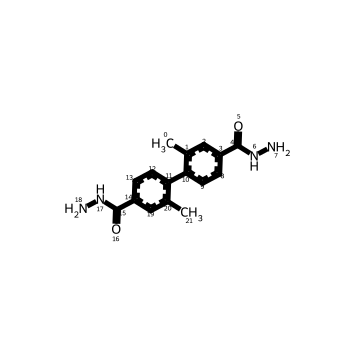 Cc1cc(C(=O)NN)ccc1-c1ccc(C(=O)NN)cc1C